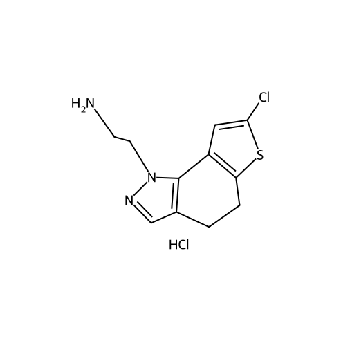 Cl.NCCn1ncc2c1-c1cc(Cl)sc1CC2